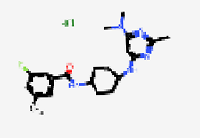 Cc1nc(NC2CCC(NC(=O)c3cc(F)cc(C(F)(F)F)c3)CC2)cc(N(C)C)n1.Cl